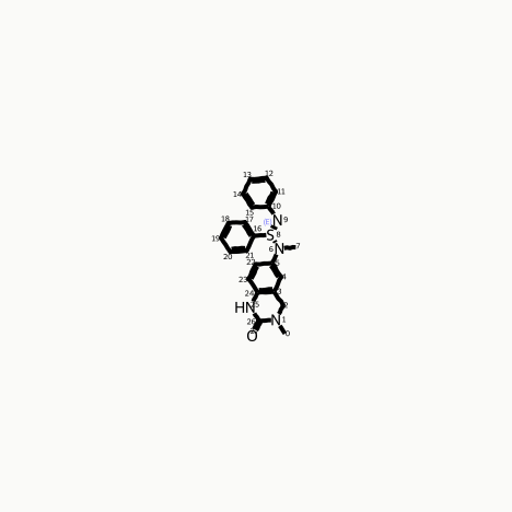 CN1Cc2cc(N(C)/S(=N/c3ccccc3)c3ccccc3)ccc2NC1=O